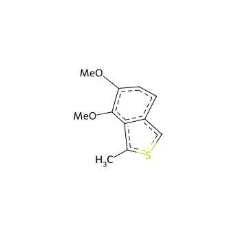 COc1ccc2csc(C)c2c1OC